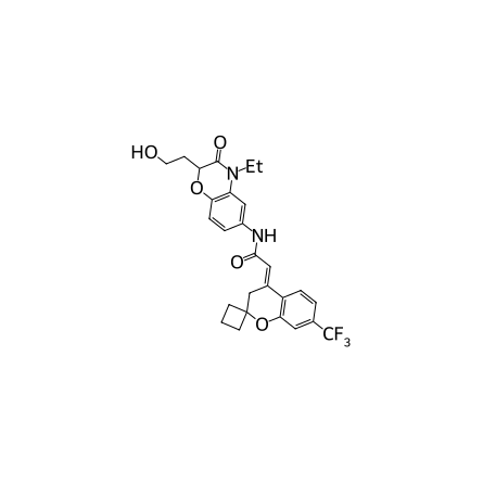 CCN1C(=O)C(CCO)Oc2ccc(NC(=O)/C=C3\CC4(CCC4)Oc4cc(C(F)(F)F)ccc43)cc21